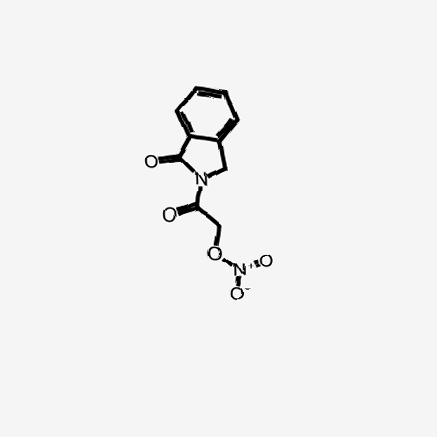 O=C(CO[N+](=O)[O-])N1Cc2ccccc2C1=O